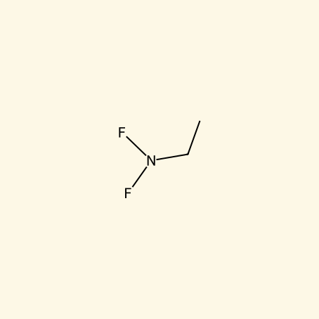 CCN(F)F